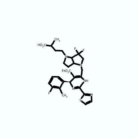 CCOC(=O)C1=C(CN2CC(F)(F)C3C2CCN3CCC(C)C(=O)O)NC(c2nccs2)=N[C@H]1c1cccc(F)c1C